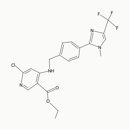 CCOC(=O)c1cnc(Cl)cc1NCc1ccc(-c2nc(C(F)(F)F)cn2C)cc1